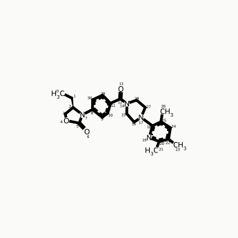 CC[C@@H]1COC(=O)N1c1ccc(C(=O)N2CCN(c3nc(C)c(C)cc3C)CC2)cc1